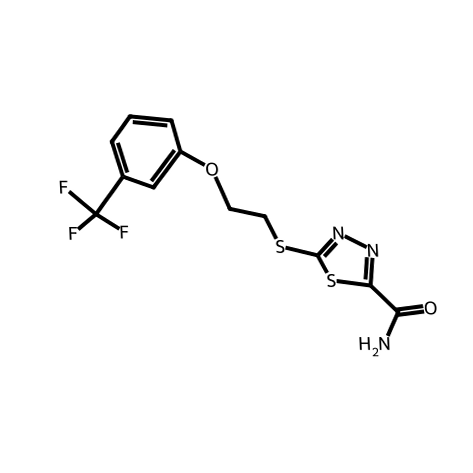 NC(=O)c1nnc(SCCOc2cccc(C(F)(F)F)c2)s1